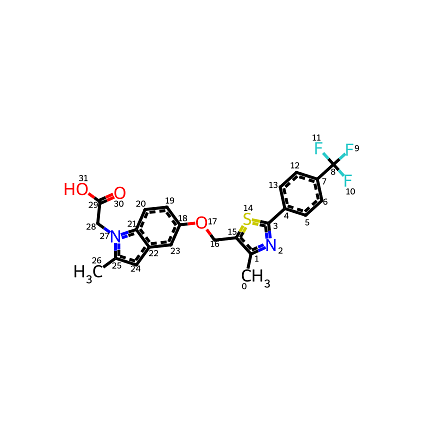 Cc1nc(-c2ccc(C(F)(F)F)cc2)sc1COc1ccc2c(c1)cc(C)n2CC(=O)O